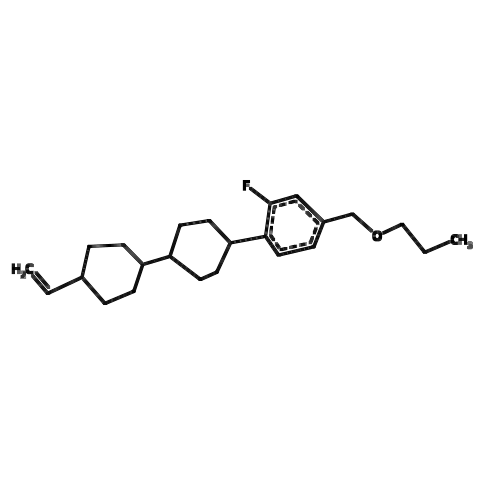 C=CC1CCC(C2CCC(c3ccc(COCCC)cc3F)CC2)CC1